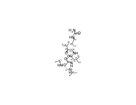 CSN[C@@H](CNC(C)C)C(=O)N[C@H](C(=O)N[C@@H](CCCNC(N)=O)C(=O)C(C)C)C(C)C